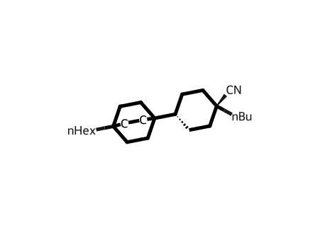 CCCCCCC12CCC([C@H]3CC[C@@](C#N)(CCCC)CC3)(CC1)CC2